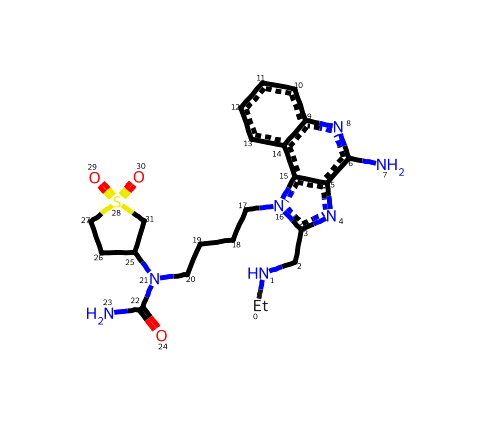 CCNCc1nc2c(N)nc3ccccc3c2n1CCCCN(C(N)=O)C1CCS(=O)(=O)C1